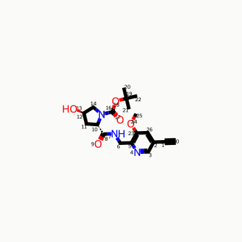 C#Cc1cnc(CNC(=O)[C@@H]2C[C@@H](O)CN2C(=O)OC(C)(C)C)c(OC)c1